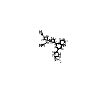 N#CC[C@]1(n2ncc(-c3cc(-c4cnc(N)cn4)cc4ncccc34)n2)C[C@H](C#N)C1